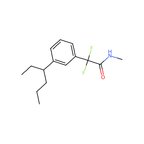 CCCC(CC)c1cccc(C(F)(F)C(=O)NC)c1